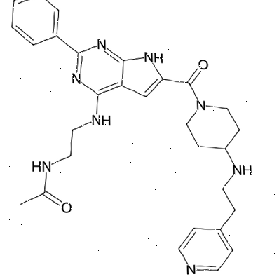 CC(=O)NCCNc1nc(-c2ccccc2)nc2[nH]c(C(=O)N3CCC(NCCc4ccncc4)CC3)cc12